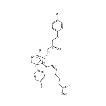 COC(=O)CCC/C=C\C[C@@H]1[C@@H](/C=C/[C@H](O)COc2ccc(F)cc2)[C@H]2C[C@]1(c1ccc(F)cc1)CO2